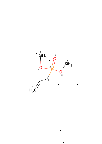 C=CCP(=O)(O[SiH3])O[SiH3]